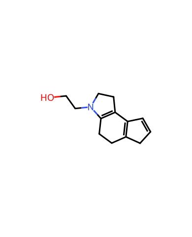 OCCN1CCC2=C1CCC1=C2C=CC1